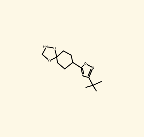 CC(C)(C)c1noc(C2CCC3(CC2)OCNO3)n1